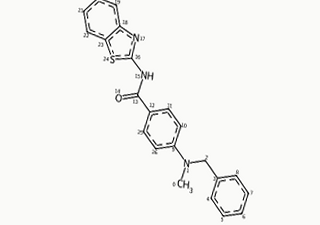 CN(Cc1ccccc1)c1ccc(C(=O)Nc2nc3ccccc3s2)cc1